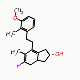 COc1cccc(CCC2=C3C[C@H](O)CC3CC(I)=C2C)c1C